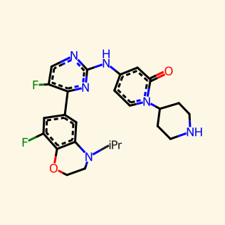 CC(C)N1CCOc2c(F)cc(-c3nc(Nc4ccn(C5CCNCC5)c(=O)c4)ncc3F)cc21